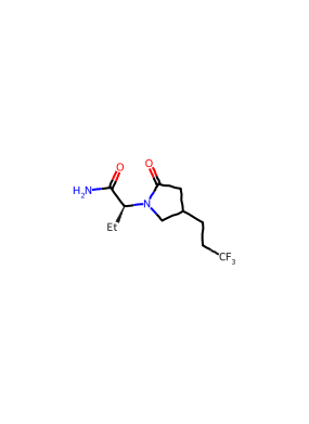 CC[C@@H](C(N)=O)N1CC(CCC(F)(F)F)CC1=O